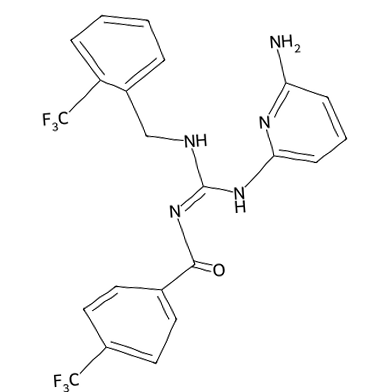 Nc1cccc(N/C(=N\C(=O)c2ccc(C(F)(F)F)cc2)NCc2ccccc2C(F)(F)F)n1